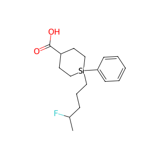 CC(F)CCC[Si]1(c2ccccc2)CCC(C(=O)O)CC1